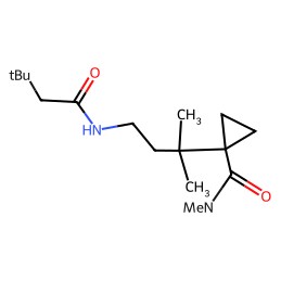 CNC(=O)C1(C(C)(C)CCNC(=O)CC(C)(C)C)CC1